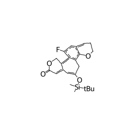 CC(C)(C)[Si](C)(C)OC1=CC2=CC(=O)OCC2=c2c(F)cc3c(c2C1)OCCC=3